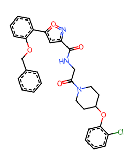 O=C(NCC(=O)N1CCC(Oc2ccccc2Cl)CC1)c1cc(-c2ccccc2OCc2ccccc2)on1